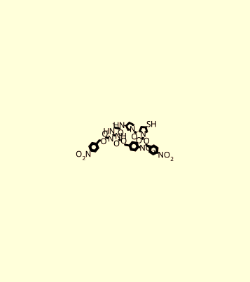 C[C@@H](N/C(=N\C(=O)OCc1ccc([N+](=O)[O-])cc1)NC(=O)OCc1ccc([N+](=O)[O-])cc1)C(=O)N[C@H]1CCN(C(=O)[C@@H]2C[C@H](S)CN2C(=O)OCc2ccc([N+](=O)[O-])cc2)C1